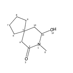 CN1C(=O)CC2(CCCC2)CC1O